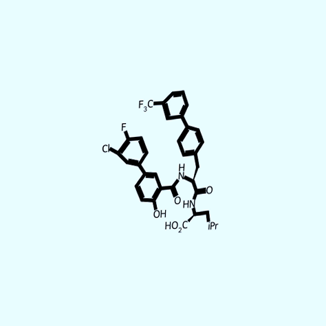 CC(C)C[C@H](NC(=O)[C@H](Cc1ccc(-c2cccc(C(F)(F)F)c2)cc1)NC(=O)c1cc(-c2ccc(F)c(Cl)c2)ccc1O)C(=O)O